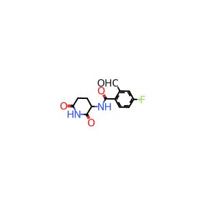 O=Cc1cc(F)ccc1C(=O)NC1CCC(=O)NC1=O